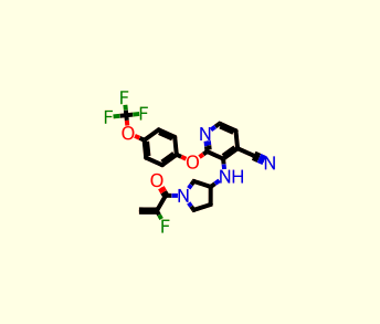 C=C(F)C(=O)N1CCC(Nc2c(C#N)ccnc2Oc2ccc(OC(F)(F)F)cc2)C1